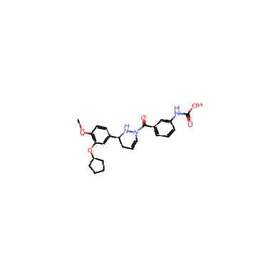 COc1ccc(C2CC=CN(C(=O)c3cccc(NC(=O)O)c3)N2)cc1OC1CCCC1